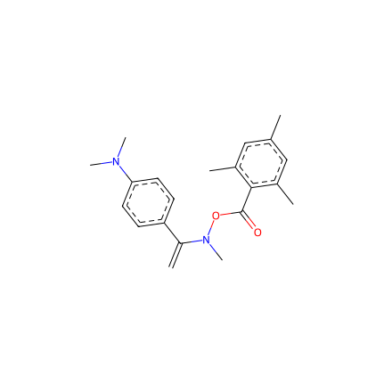 C=C(c1ccc(N(C)C)cc1)N(C)OC(=O)c1c(C)cc(C)cc1C